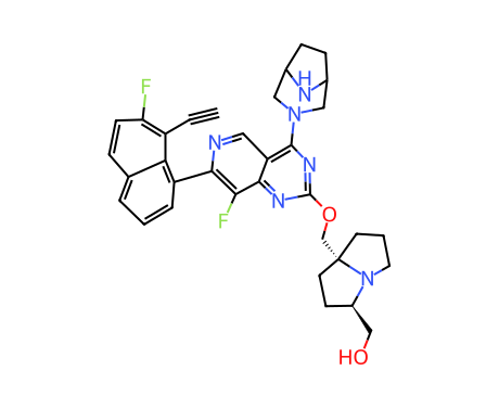 C#Cc1c(F)ccc2cccc(-c3ncc4c(N5CC6CCC(C5)N6)nc(OC[C@]56CCCN5[C@@H](CO)CC6)nc4c3F)c12